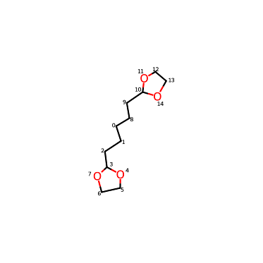 C(CCC1OCCO1)CCC1OCCO1